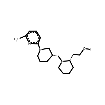 FC(F)(F)c1cccc(N2CCC[C@@H](CN3CCCC[C@H]3CCOI)C2)n1